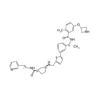 Cc1ccc(OC2CNC2)cc1C(=O)N[C@H](C)c1cccc(-c2ccc(CN[C@H]3CC[C@@H](C(=O)N/C=C/c4cccnc4)C3)s2)c1